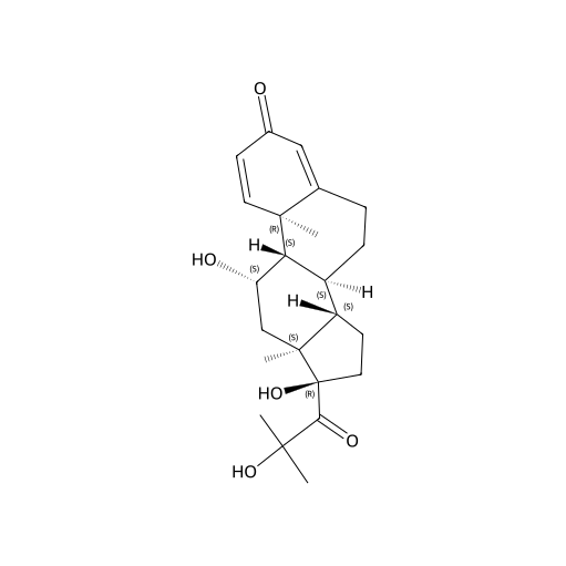 CC(C)(O)C(=O)[C@@]1(O)CC[C@H]2[C@@H]3CCC4=CC(=O)C=C[C@]4(C)[C@H]3[C@@H](O)C[C@@]21C